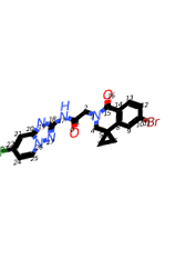 O=C(CN1CC2(CC2)c2cc(Br)ccc2C1=O)Nc1nc2cc(Cl)ccn2n1